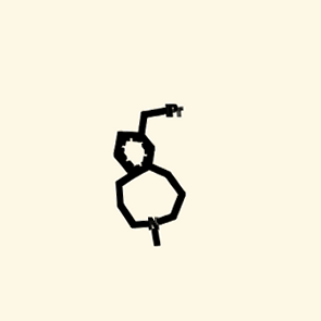 CC(C)Cc1ccc2c(c1)CCCN(C)CCC2